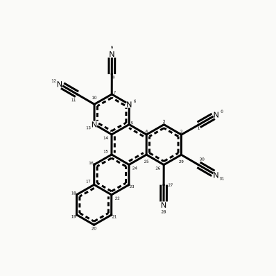 N#Cc1cc2c3nc(C#N)c(C#N)nc3c3cc4ccccc4cc3c2c(C#N)c1C#N